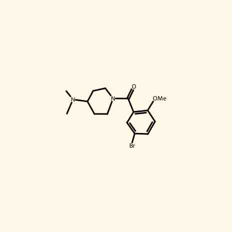 COc1ccc(Br)cc1C(=O)N1CCC(N(C)C)CC1